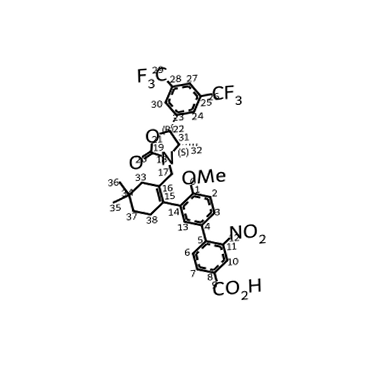 COc1ccc(-c2ccc(C(=O)O)cc2[N+](=O)[O-])cc1C1=C(CN2C(=O)O[C@H](c3cc(C(F)(F)F)cc(C(F)(F)F)c3)[C@@H]2C)CC(C)(C)CC1